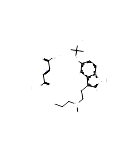 CCCN(C)CCc1c[nH]c2ccc(OC(F)(F)F)cc12.O=C(O)/C=C/C(=O)O